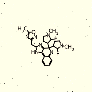 Cc1nc(CC2N=C3C(=c4ccccc4=NC3(C3CCN(C)C3F)C3CCN(C)C3F)N2)no1